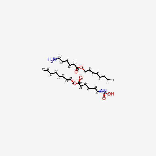 CCCCCCCCOC(=O)CCCCCN.CCCCCCCCOC(=O)CCCCCNC(=O)O